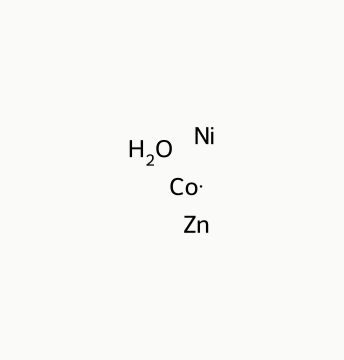 O.[Co].[Ni].[Zn]